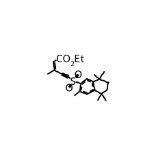 CCOC(=O)C=C(C)C#CS(=O)(=O)c1cc2c(cc1C)C(C)(C)CCC2(C)C